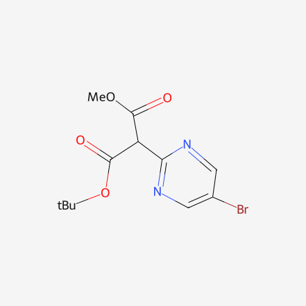 COC(=O)C(C(=O)OC(C)(C)C)c1ncc(Br)cn1